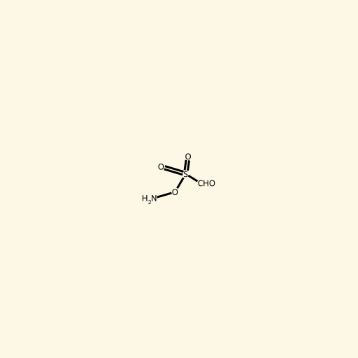 NOS(=O)(=O)C=O